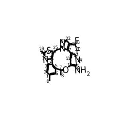 Cc1ccc2c(c1)C(C)Oc1cc(cnc1N)-c1c(C(F)F)cnn1Cc1sc(C)nc1-2